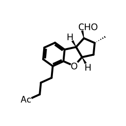 CC(=O)CCCc1cccc2c1O[C@H]1C[C@@H](C)[C@H](C=O)[C@@H]21